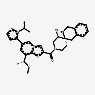 CO[C@H](C)c1cc(-c2ccnn2C(C)C)cn2cc(C(=O)N3CC[C@]4(Cc5ccccc5CN4)[C@H](O)C3)nc12